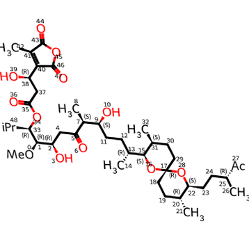 CO[C@H]([C@H](O)CC(=O)[C@@H](C)[C@@H](O)CC[C@@H](C)[C@@H]1O[C@]2(CC[C@@H](C)[C@H](CC[C@@H](C)C(C)=O)O2)CC[C@@H]1C)[C@H](OC(=O)C[C@@H](O)C1=C(C)C(=O)OC1=O)C(C)C